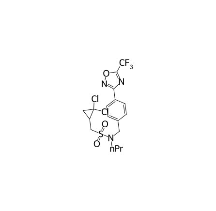 CCCN(Cc1ccc(-c2noc(C(F)(F)F)n2)cc1)S(=O)(=O)CC1CC1(Cl)Cl